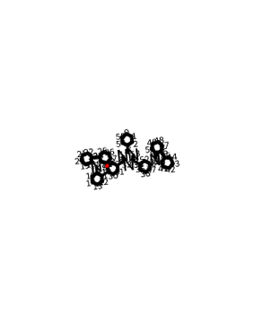 c1ccc(-c2nc(-c3ccc(-c4ccccc4-n4c5ccccc5c5ccccc54)cc3)nc(-c3cccc(-n4c5ccccc5c5ccccc54)c3)n2)cc1